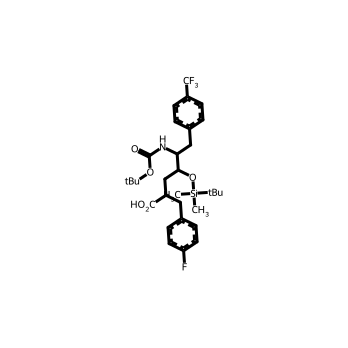 CC(C)(C)OC(=O)NC(Cc1ccc(C(F)(F)F)cc1)C(CC(Cc1ccc(F)cc1)C(=O)O)O[Si](C)(C)C(C)(C)C